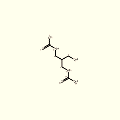 O=C(O)NCC(CO)CNC(=O)O